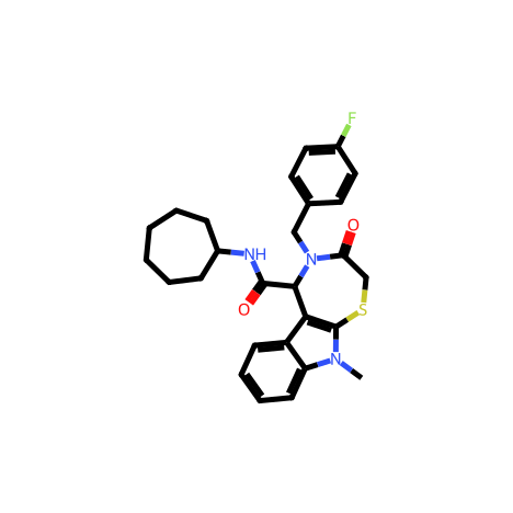 Cn1c2c(c3ccccc31)C(C(=O)NC1CCCCCC1)N(Cc1ccc(F)cc1)C(=O)CS2